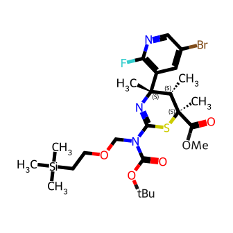 COC(=O)[C@@]1(C)SC(N(COCC[Si](C)(C)C)C(=O)OC(C)(C)C)=N[C@](C)(c2cc(Br)cnc2F)[C@@H]1C